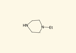 CCN1[CH]CNCC1